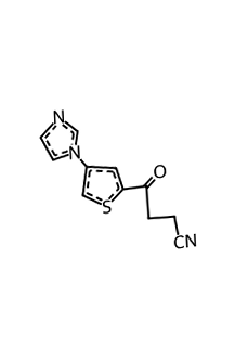 N#CCCC(=O)c1cc(-n2ccnc2)cs1